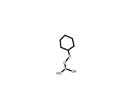 OB(O)OOC1CCCCC1